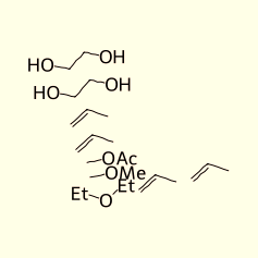 C=CC.C=CC.C=CC.C=CC.CCOCC.COC.COC(C)=O.OCCO.OCCO